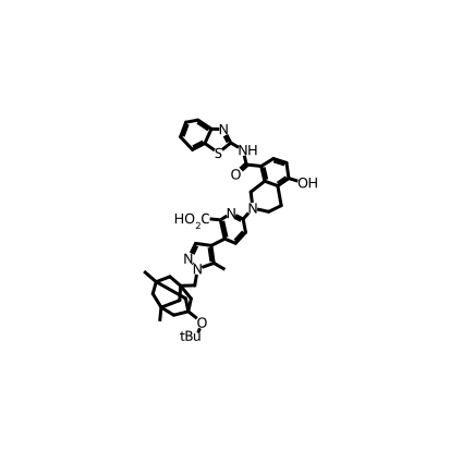 Cc1c(-c2ccc(N3CCc4c(O)ccc(C(=O)Nc5nc6ccccc6s5)c4C3)nc2C(=O)O)cnn1CC12CC3(C)CC(C)(C1)CC(OC(C)(C)C)(C3)C2